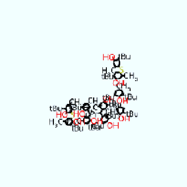 CC(C)(C)c1cc(C(C)(C)C)c(O)c(C(C)(C)C)c1.CCCC(c1cc(C(C)(C)C)c(O)cc1C)c1cc(C(C)(C)C)c(O)cc1C.Cc1cc(C(C)(C)C)c(O)c(C(C)(C)C)c1.Cc1cc(Cc2cc(C)cc(C(C)(C)C)c2O)c(O)c(C(C)(C)C)c1.Cc1cc(O)c(C(C)(C)C)cc1Sc1cc(C(C)(C)C)c(O)cc1C.Cc1cc(Sc2cc(C)cc(C(C)(C)C)c2O)c(O)c(C(C)(C)C)c1